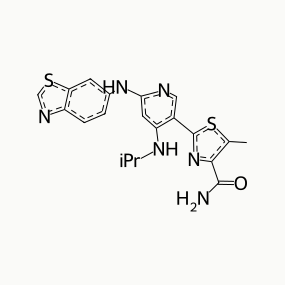 Cc1sc(-c2cnc(Nc3ccc4ncsc4c3)cc2NC(C)C)nc1C(N)=O